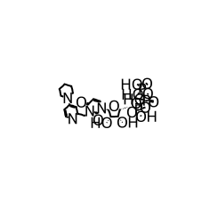 O=c1ccn([C@@H]2O[C@H](COP(=O)(O)OP(=O)(O)OP(=O)(O)O)[C@H](O)[C@@H]2O)c(=O)n1Cc1cc(N2CCCCC2)ccn1